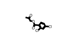 CC(=O)COC(=O)c1ccc(Cl)cc1Cl